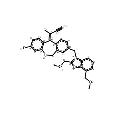 COCc1cccc2c1nc(COC)n2Cc1ccc2c(c1)COc1cc(F)ccc1/C2=C(\C)C#N